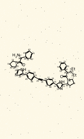 CCN(CC)[C@@H](C(=O)N1CCC[C@H]1c1ncc(-c2ccc(C#Cc3ccc(-c4cnc([C@@H]5CCCN5C(=O)[C@H](N)c5ccccc5)[nH]4)cc3)cc2)[nH]1)c1ccccc1